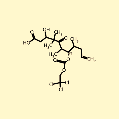 C=CCC(C)[C@H](OC(=O)OCC(Cl)(Cl)Cl)C(C)C(=O)C(C)(C)C(O)CC(=O)O